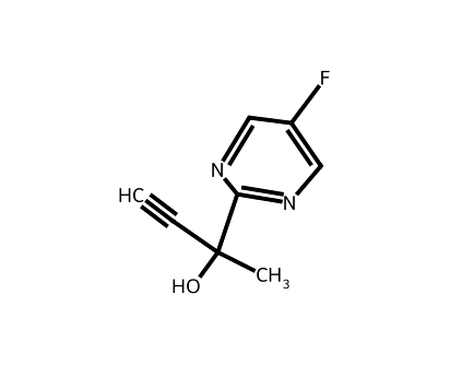 C#CC(C)(O)c1ncc(F)cn1